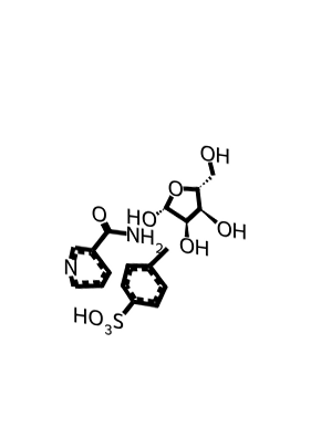 Cc1ccc(S(=O)(=O)O)cc1.NC(=O)c1cccnc1.OC[C@H]1O[C@@H](O)[C@H](O)[C@@H]1O